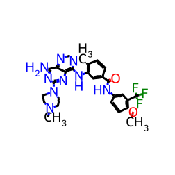 COc1ccc(NC(=O)c2ccc(C)c(Nc3ncnc4c(N)nc(N5CCN(C)CC5)nc34)c2)cc1C(F)(F)F